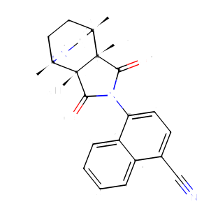 N#Cc1ccc(N2C(=O)[C@H]3[C@H]4CC[C@H](NC4)[C@H]3C2=O)c2ccccc12